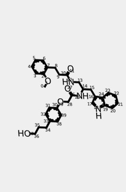 COc1ccccc1CCC(=O)NCC(Cc1c[nH]c2ccccc12)NC(=O)COc1ccc(CCCO)cc1